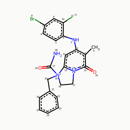 Cc1c(Nc2ccc(Br)cc2F)[c]c2n(c1=O)CC[N+]2(Cc1ccccc1)C(N)=O